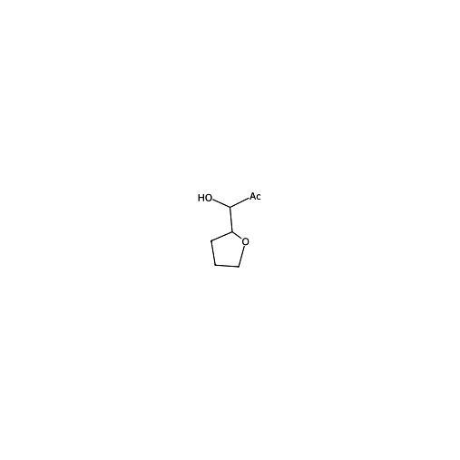 CC(=O)C(O)C1CCCO1